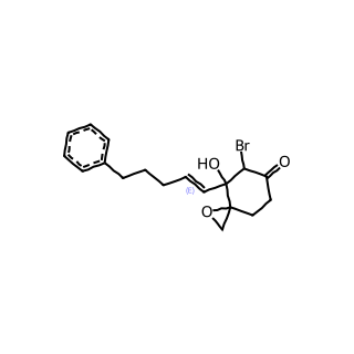 O=C1CCC2(CO2)C(O)(/C=C/CCCc2ccccc2)C1Br